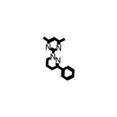 Cc1cc(C)nc(N2CCCC(c3ccccc3)=N2)n1